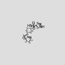 O=S(=O)(N[C@H]1CC[C@H](c2coc3cccnc32)CC1)c1cn[nH]c1